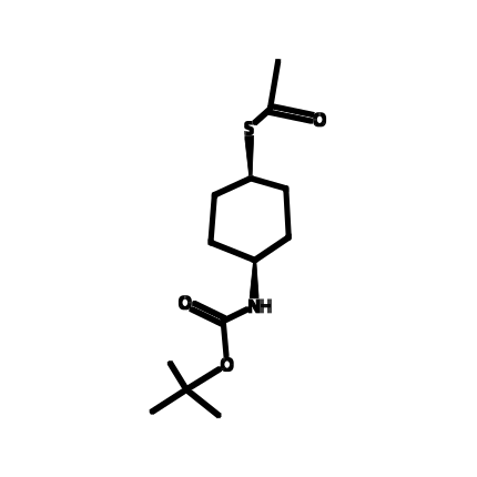 CC(=O)S[C@H]1CC[C@@H](NC(=O)OC(C)(C)C)CC1